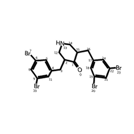 O=C1C(Cc2cc(Br)cc(Br)c2)CNCC1Cc1cc(Br)cc(Br)c1